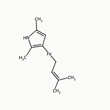 CC(C)=C[CH2][Fe][c]1cc(C)[nH]c1C